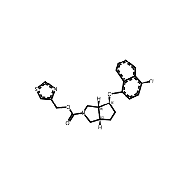 O=C(OCc1cscn1)N1C[C@H]2CC[C@H](Oc3ccc(Cl)c4ccccc34)[C@H]2C1